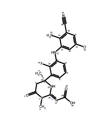 CN1C(=O)C[C@@](C)(c2cccc(Nc3cc(Cl)cc(C#N)c3N)c2F)N/C1=N\C(=O)O